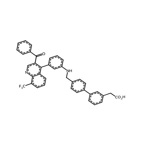 O=C(O)Cc1cccc(-c2ccc(CNc3cccc(-c4c(C(=O)c5ccccc5)cnc5c(C(F)(F)F)cccc45)c3)cc2)c1